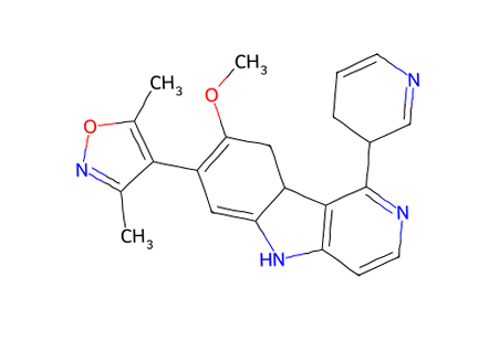 COC1=C(c2c(C)noc2C)C=C2Nc3ccnc(C4C=NC=CC4)c3C2C1